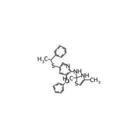 CC1=CSC(C)(Nc2ncc(SC(C)c3ccccc3)cc2Oc2ccccc2)N1